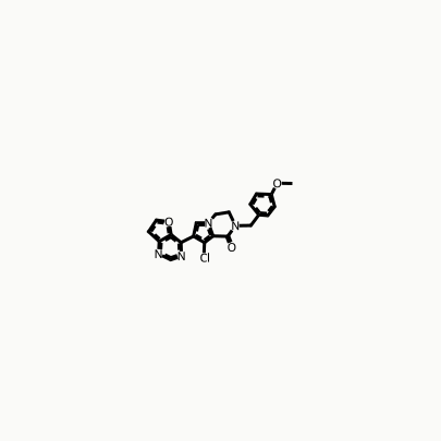 COc1ccc(CN2CCn3cc(-c4ncnc5ccoc45)c(Cl)c3C2=O)cc1